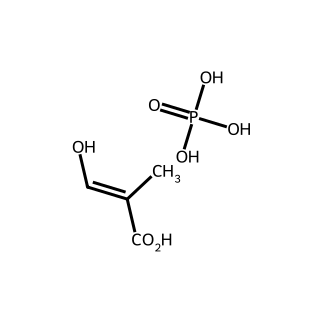 CC(=CO)C(=O)O.O=P(O)(O)O